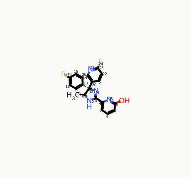 C[C@@H]1NC(c2cccc(O)n2)=N[C@]1(c1ccc(F)cc1)c1ccc(F)nc1